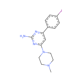 CN1CCN(c2cc(-c3ccc(I)cc3)nc(N)n2)CC1